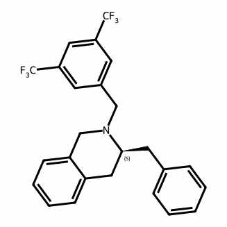 FC(F)(F)c1cc(CN2Cc3ccccc3C[C@@H]2Cc2ccccc2)cc(C(F)(F)F)c1